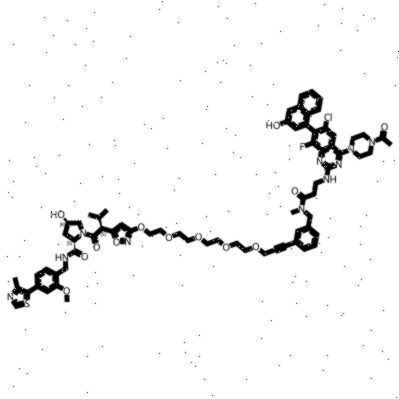 COc1cc(-c2scnc2C)ccc1CNC(=O)[C@@H]1C[C@@H](O)CN1C(=O)[C@H](c1cc(OCCOCCOCCOCCOCC#Cc2cccc(CN(C)C(=O)CCNc3nc(N4CCN(C(C)=O)CC4)c4cc(Cl)c(-c5cc(O)cc6ccccc56)c(F)c4n3)c2)no1)C(C)C